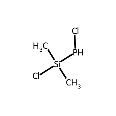 C[Si](C)(Cl)PCl